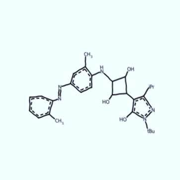 Cc1ccccc1N=Nc1ccc(NC2C(O)C(c3c(C(C)C)nn(C(C)(C)C)c3O)C2O)c(C)c1